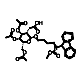 COC(=O)N(CCCCO[C@H]1O[C@H](COC(C)=O)[C@H](OC(C)=O)[C@@H](OC(C)=O)[C@@H]1CC(=O)O)C1c2ccccc2-c2ccccc21